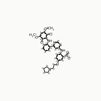 COc1cc(OC)c(Cl)c(Nc2ncccc2-c2cc(Nc3ccc(OCCN4CCCC4)cc3[N+](=O)[O-])ncn2)c1Cl